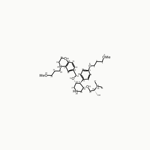 COCCCOc1ccc([C@@H]2[C@@H](OCc3ccc4c(c3)N(CCCOC)CCO4)CNC[C@H]2OC[C@@H](C)N(C)C)cc1